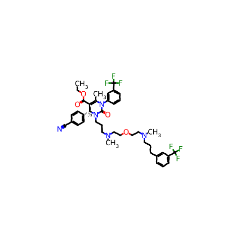 CCOC(=O)C1=C(C)N(c2cccc(C(F)(F)F)c2)C(=O)N(CCCN(C)CCOCCN(C)CCCc2cccc(C(F)(F)F)c2)[C@@H]1c1ccc(C#N)cc1